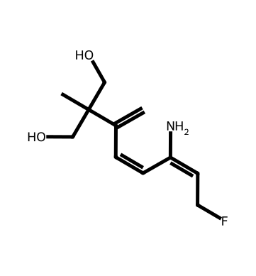 C=C(/C=C\C(N)=C/CF)C(C)(CO)CO